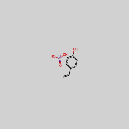 C=Cc1ccc(O)cc1.O=[PH](O)O